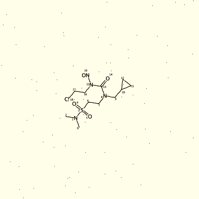 CN(C)S(=O)(=O)CCN(CC1CC1)C(=O)N(CCCl)N=O